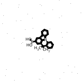 CC1(C)c2ccccc2-n2c3ccccc3c3cc(B(O)O)cc1c32